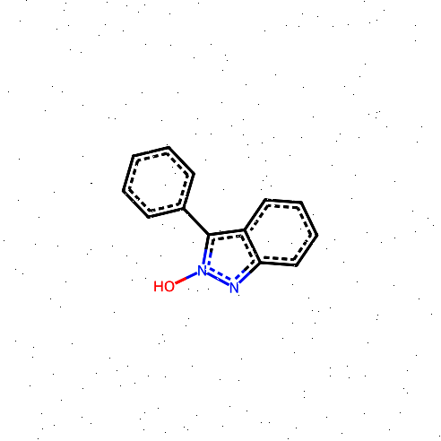 On1nc2ccccc2c1-c1ccccc1